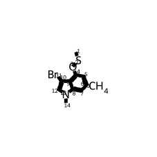 C.CSOc1cccc2c1c(Br)cn2C